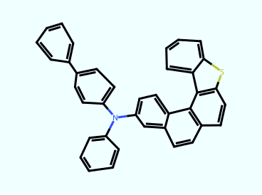 c1ccc(-c2ccc(N(c3ccccc3)c3ccc4c(ccc5ccc6sc7ccccc7c6c54)c3)cc2)cc1